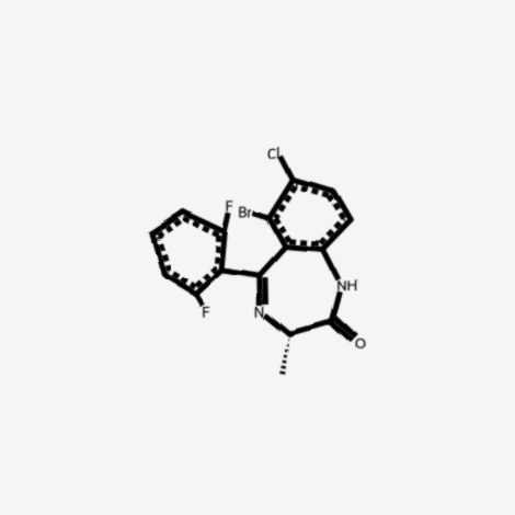 C[C@@H]1N=C(c2c(F)cccc2F)c2c(ccc(Cl)c2Br)NC1=O